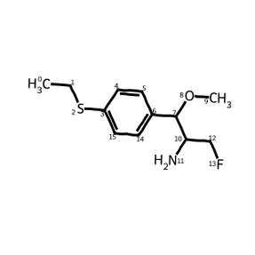 CCSc1ccc(C(OC)C(N)CF)cc1